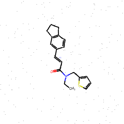 CCN(Cc1cccs1)C(=O)/C=C/c1ccc2c(c1)CCC2